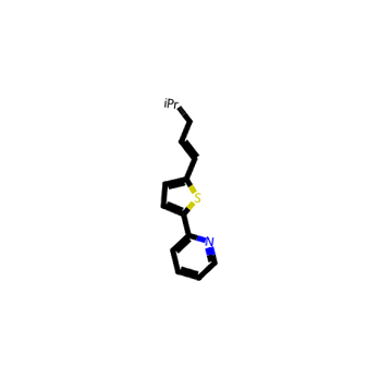 CC(C)C/C=C/c1ccc(-c2ccccn2)s1